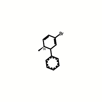 C[C@H]1C=CC(Br)=CC1c1ccccc1